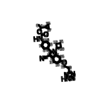 CC(OC(=O)Nc1ccc(-c2c(C#N)c3ccc(OCCc4nn[nH]n4)cc3n2C2CCC2)cc1)C1CC1